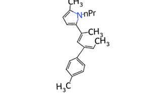 C/C=C(\C=C(/C)c1ccc(C)n1CCC)c1ccc(C)cc1